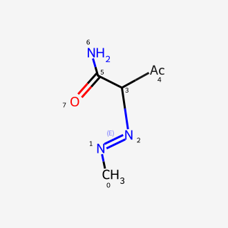 C/N=N/C(C(C)=O)C(N)=O